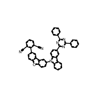 N#Cc1cccc(C#N)c1-c1ccc2oc3ccc(-n4c5ccccc5c5cc(-c6nc(-c7ccccc7)nc(-c7ccccc7)n6)ccc54)cc3c2c1